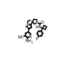 N#Cc1cc(-c2cc3n(n2)CC[C@@]32CCN(C(=O)NC3(c4ccc(F)cc4)CCC3)C2)cnc1N